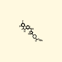 CC(Nc1cc(Nc2cc(C3CCN(C(=O)OC(C)(C)C)CC3)[nH]n2)ncn1)c1ccc(F)cc1F